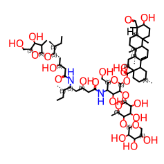 CC[C@H](C)[C@H](C[C@H](O)CC(=O)NC1C(O)C(O[C@@H]2O[C@H](C)C(O[C@@H]3OC[C@@H](O)C(O)C3O)C(O)C2O)[C@H](OC(=O)C23CC[C@@H](C)CC2C2=CCC4C5(C)CCC(O)C(C)(C=O)[C@@H]5CC[C@@]4(C)[C@]2(C)C[C@H]3O)O[C@@H]1CO)NC(=O)C[C@@H](O)C[C@H](O[C@@H]1O[C@@H](CO)C(O)C1C)[C@@H](C)CC